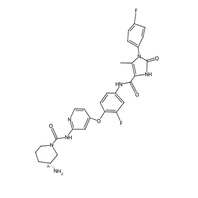 Cc1c(C(=O)Nc2ccc(Oc3ccnc(NC(=O)N4CCC[C@@H](N)C4)c3)c(F)c2)[nH]c(=O)n1-c1ccc(F)cc1